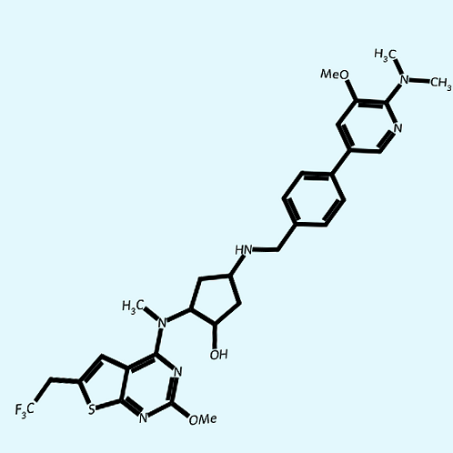 COc1nc(N(C)C2CC(NCc3ccc(-c4cnc(N(C)C)c(OC)c4)cc3)CC2O)c2cc(CC(F)(F)F)sc2n1